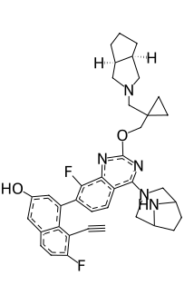 C#Cc1c(F)ccc2cc(O)cc(-c3ccc4c(N5CC6CCC(C5)N6)nc(OCC5(CN6C[C@H]7CCC[C@H]7C6)CC5)nc4c3F)c12